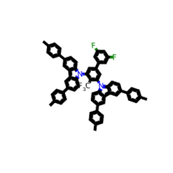 Cc1ccc(-c2ccc3c(c2)c2cc(-c4ccc(C)cc4)ccc2n3-c2cc(-c3cc(F)cc(F)c3)cc(-n3c4ccc(-c5ccc(C)cc5)cc4c4cc(-c5ccc(C)cc5)ccc43)c2C(F)(F)F)cc1